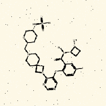 CCS(=O)(=O)N[C@@H]1CC[C@@H](CN2CCC3(CC2)CN(c2ncncc2Oc2ccc(F)cc2C(=O)N(C(C)C)[C@@H]2CC[C@H]2O)C3)OC1